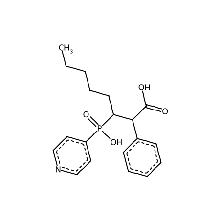 CCCCCC(C(C(=O)O)c1ccccc1)P(=O)(O)c1ccncc1